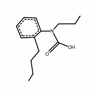 CCCCc1ccccc1N(CCC)C(=O)O